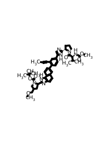 CC#Cc1cc(-c2cnc([C@@H]3CCCN3C(=O)[C@@H](NC(=O)OC)C(C)C)[nH]2)ccc1-c1ccc2c(ccc3nc(C4CC(COC)CN4C(=O)OC(C)(C)C)[nH]c32)c1